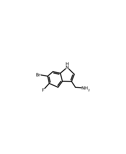 NCc1c[nH]c2cc(Br)c(F)cc12